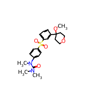 COC1(c2cccc(S(=O)(=O)c3ccc(N(C)C(=O)N(C)C)cc3)c2)CCOCC1